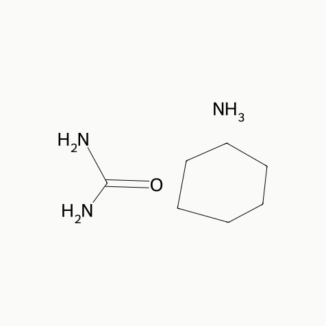 C1CCCCC1.N.NC(N)=O